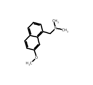 COc1ccc2cccc(CN(C)C)c2c1